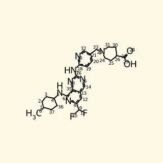 CC1CCC(Nc2nc(C(F)F)cc3cnc(Nc4ccc(CN5CCC(C(=O)O)CC5)cn4)nc23)CC1